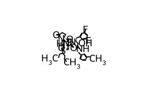 CCCC(CCC)[S+]([O-])CC(NC(=O)[C@H]1CCC(=O)N1)C(=O)N[C@@H](Cc1cc(F)cc(F)c1)[C@H](O)CNCc1cccc(CC)c1